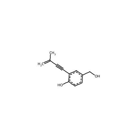 C=C(C)C#Cc1cc(CO)ccc1O